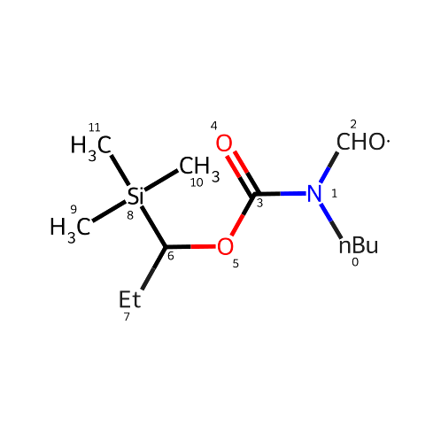 CCCCN([C]=O)C(=O)OC(CC)[Si](C)(C)C